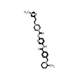 CC1CCCCN1Cc1ccc(C(=O)Nc2ccc(OC(=O)N3CCN(CCc4cn(C)cn4)CC3)nc2)cc1